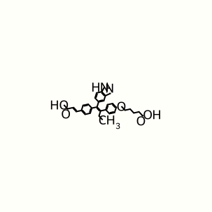 CCC(=C(c1ccc(C=CC(=O)O)cc1)c1ccc2[nH]ncc2c1)c1ccc(OCCCCC(=O)O)cc1